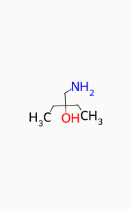 CCC(O)(CC)CN